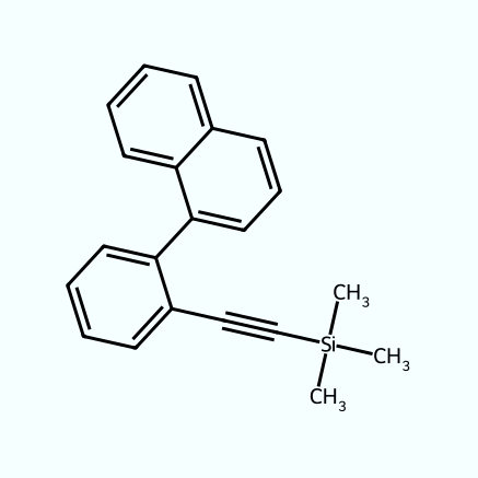 C[Si](C)(C)C#Cc1ccccc1-c1cccc2ccccc12